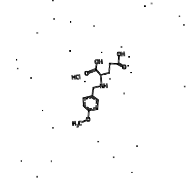 COc1ccc(CNC(CCC(=O)O)C(=O)O)cc1.Cl